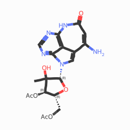 CC(=O)OC[C@H]1O[C@@H](n2cc3c4c(ncnc42)NC(=O)C=C3N)C(C)(O)[C@@H]1OC(C)=O